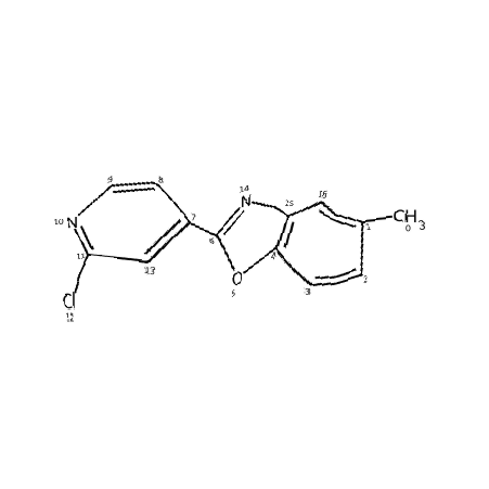 Cc1ccc2oc(-c3ccnc(Cl)c3)nc2c1